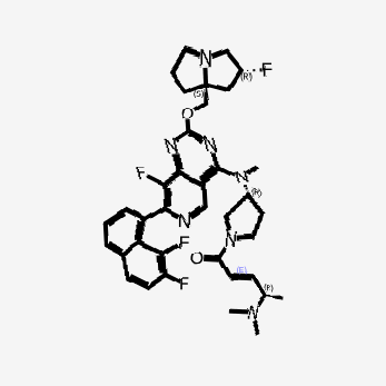 C[C@H](/C=C/C(=O)N1CC[C@@H](N(C)c2nc(OC[C@@]34CCCN3C[C@H](F)C4)nc3c(F)c(-c4cccc5ccc(F)c(F)c45)ncc23)C1)N(C)C